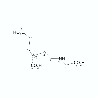 O=C(O)CC[C@H](NCNCC(=O)O)C(=O)O